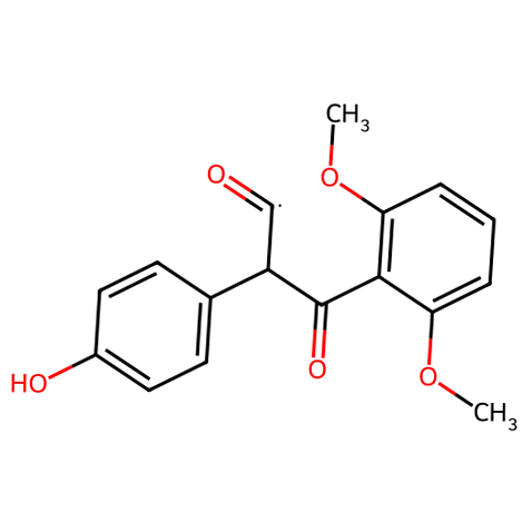 COc1cccc(OC)c1C(=O)C([C]=O)c1ccc(O)cc1